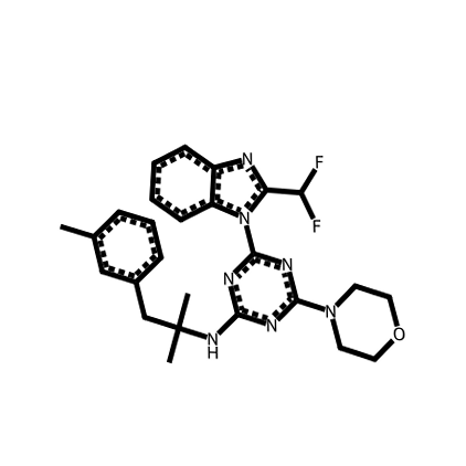 Cc1cccc(CC(C)(C)Nc2nc(N3CCOCC3)nc(-n3c(C(F)F)nc4ccccc43)n2)c1